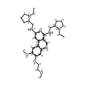 CCN1CCCC1CNc1cc2c(cnc3cc(OCCOC)c(OC)cc32)c(NCC2CCCN2CC)n1